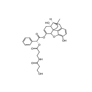 CN1CCC23c4c5ccc(O)c4OC2C(OC(=O)[C@H](OC(=O)CCNC(=O)CCO)c2ccccc2)=CC[C@@]3(O)[C@H]1C5